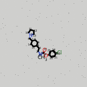 CN(CCC1CCC(CN2CCCC2)CC1)C(=O)Oc1ccc(Cl)cc1